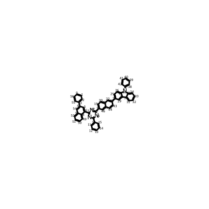 c1ccc(-c2cc(-c3nc(-c4ccccc4)nc(-c4ccc5cc(-c6ccc7c(c6)c6ccccc6n7-c6ccccc6)ccc5c4)n3)c3ccccc3c2)cc1